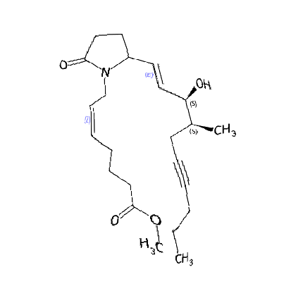 CCCC#CC[C@H](C)[C@H](O)/C=C/C1CCC(=O)N1C/C=C\CCCC(=O)OC